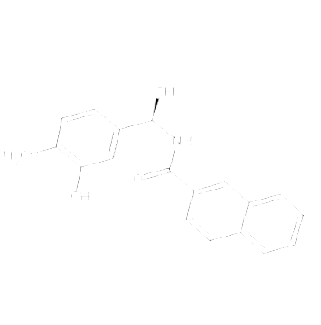 Cc1ccc([C@@H](C)NC(=O)c2ccc3ccccc3c2)cc1C